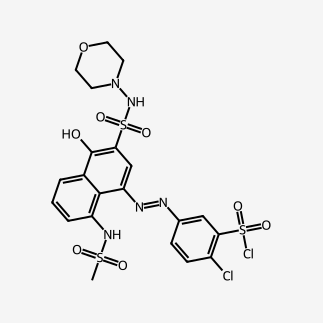 CS(=O)(=O)Nc1cccc2c(O)c(S(=O)(=O)NN3CCOCC3)cc(N=Nc3ccc(Cl)c(S(=O)(=O)Cl)c3)c12